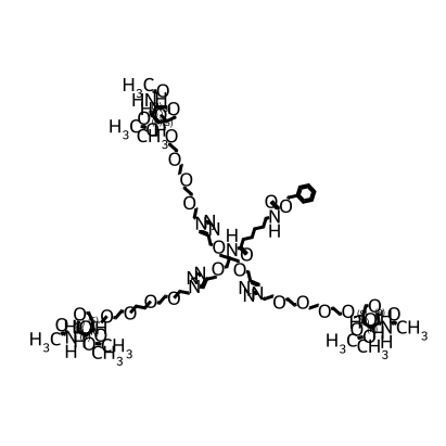 CC(=O)NC1[C@H]2OC[C@](COCCOCCOCCOCCn3cc(COCC(COCc4cn(CCOCCOCCOCCOC[C@@]56CO[C@@H](O5)[C@H](NC(C)=O)[C@H]5OC(C)(C)O[C@H]56)nn4)(COCc4cn(CCOCCOCCOCCOC[C@@]56CO[C@@H](O5)[C@H](NC(C)=O)[C@H]5OC(C)(C)O[C@H]56)nn4)NC(=O)CCCCCNC(=O)OCc4ccccc4)nn3)(O2)[C@@H]2OC(C)(C)O[C@H]12